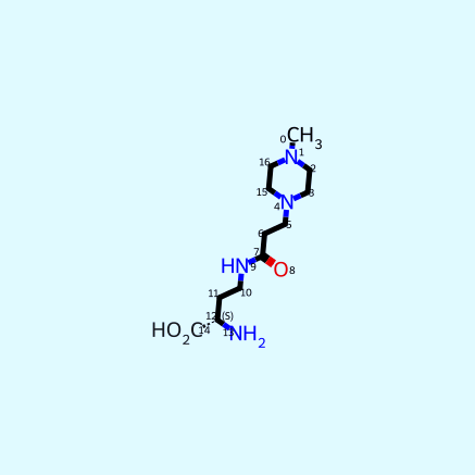 CN1CCN(CCC(=O)NCC[C@H](N)C(=O)O)CC1